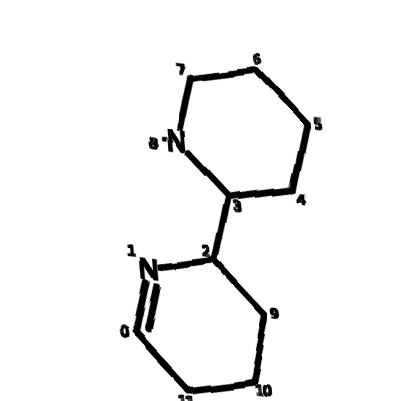 C1=NC(C2CCCC[N]2)CCC1